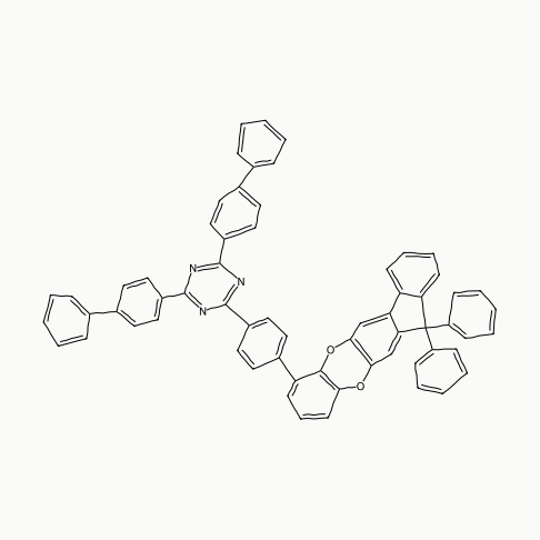 c1ccc(-c2ccc(-c3nc(-c4ccc(-c5ccccc5)cc4)nc(-c4ccc(-c5cccc6c5Oc5cc7c(cc5O6)C(c5ccccc5)(c5ccccc5)c5ccccc5-7)cc4)n3)cc2)cc1